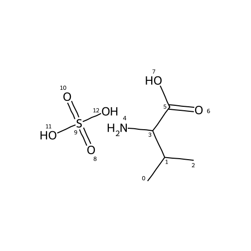 CC(C)C(N)C(=O)O.O=S(=O)(O)O